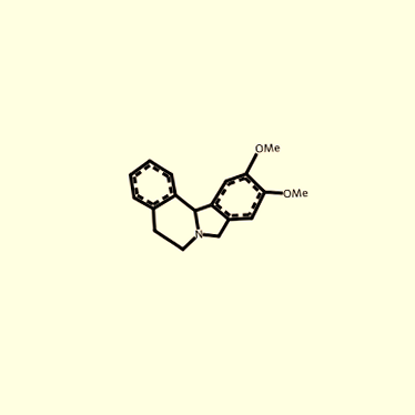 COc1cc2c(cc1OC)C1c3ccccc3CCN1C2